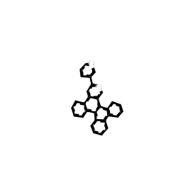 c1cncc(-c2cc3c4ccccc4c4c5ccccc5c5ccccc5c4c3cn2)c1